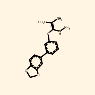 NN/C(Oc1cccc(-c2ccc3c(c2)OCO3)c1)=C(\N)C(=O)O